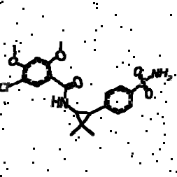 COc1cc(OC)c(C(=O)NC2C(c3ccc(S(N)(=O)=O)cc3)C2(C)C)cc1Cl